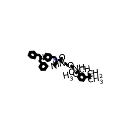 C=C(C)c1cccc(C(C)(C)NC(=O)OCCNC(=O)/C(C#N)=C/c2ccc(N(Cc3ccccc3)Cc3ccccc3)cc2)c1